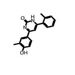 Cc1cc(-c2cc(-c3ccccc3C)[nH]c(=O)n2)ccc1O